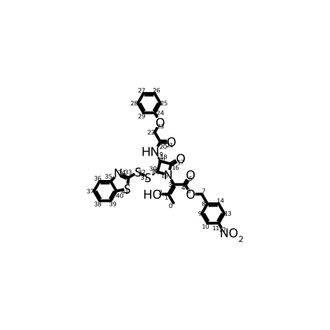 CC(O)=C(C(=O)OCc1ccc([N+](=O)[O-])cc1)N1C(=O)[C@@H](NC(=O)COc2ccccc2)[C@H]1SSc1nc2ccccc2s1